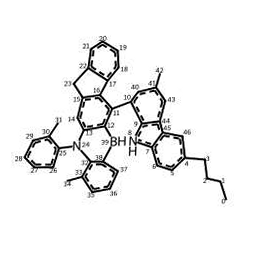 CCCCc1ccc2[nH]c3c(-c4c5c(cc6c4-c4ccccc4C6)N(c4ccccc4C)c4c(C)cccc4B5)cc(C)cc3c2c1